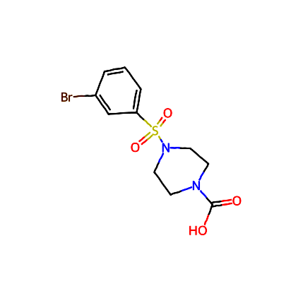 O=C(O)N1CCN(S(=O)(=O)c2cccc(Br)c2)CC1